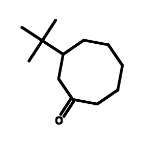 CC(C)(C)C1CCCCCC(=O)C1